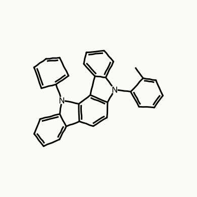 Cc1ccccc1-n1c2ccccc2c2c1ccc1c3ccccc3n(-c3ccccc3)c12